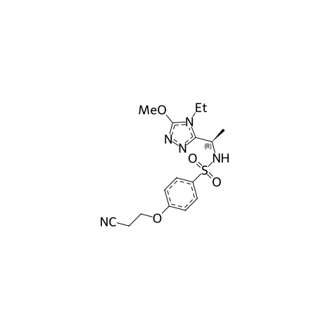 CCn1c(OC)nnc1[C@@H](C)NS(=O)(=O)c1ccc(OCCC#N)cc1